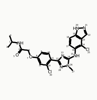 CC(C)NC(=O)COc1ccc(-c2nc(Nc3ccc4[nH]ncc4c3Cl)n(C)n2)c(Cl)c1